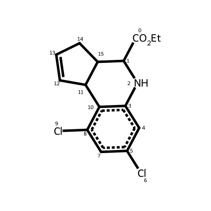 CCOC(=O)C1Nc2cc(Cl)cc(Cl)c2C2C=CCC12